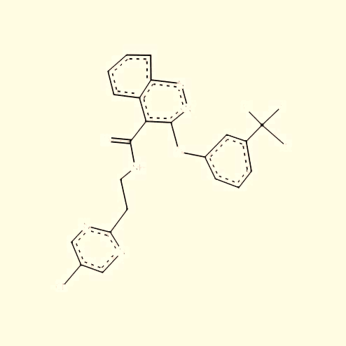 O=C(NCCc1ncc(Cl)cn1)c1c(Oc2cccc(C(F)(F)F)c2)nnc2ccccc12